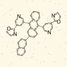 c1ccc2cc(-c3ccc4c(-c5cncc(-c6ncco6)c5)c5ccccc5c(-c5cncc(-c6ncco6)c5)c4c3)ccc2c1